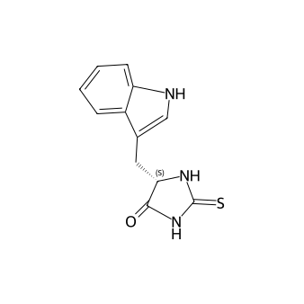 O=C1NC(=S)N[C@H]1Cc1c[nH]c2ccccc12